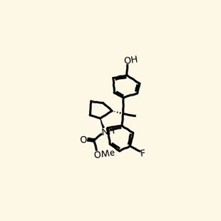 COC(=O)N[C@H]1CCC[C@@H]1C(C)(c1ccc(O)cc1)c1cccc(F)c1